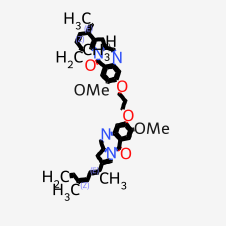 C=C/C(C)=C\C=C(/C)C1=CN2C(=O)c3cc(OC)c(OCCCOc4cc5c(cc4OC)C(=O)N4C=C(C(/C=C\C(=C)C)=C/C)C[C@H]4C=N5)cc3N=CC2C1